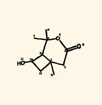 CC12CC(=O)OC(C)(C)C1C(O)C2